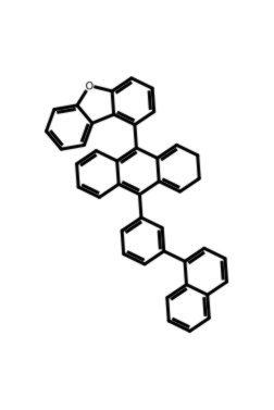 C1=c2c(-c3cccc(-c4cccc5ccccc45)c3)c3ccccc3c(-c3cccc4oc5ccccc5c34)c2=CCC1